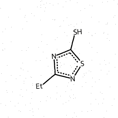 CCc1nsc(S)n1